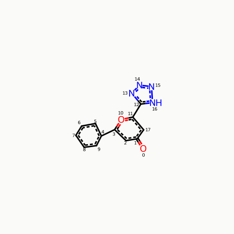 O=c1cc(-c2ccccc2)oc(-c2nnn[nH]2)c1